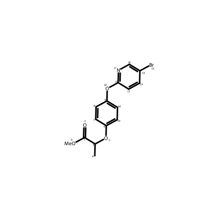 COC(=O)C(C)Oc1ccc(Oc2ccc(Br)cn2)cc1